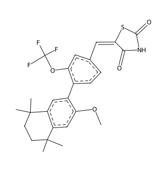 COc1cc2c(cc1-c1ccc(C=C3SC(=O)NC3=O)cc1OC(F)(F)F)C(C)(C)CCC2(C)C